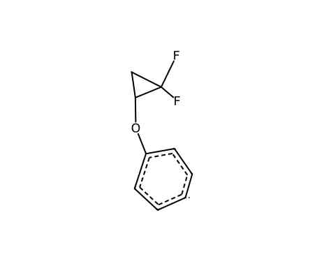 FC1(F)CC1Oc1cc[c]cc1